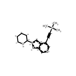 C[Si](C)(C)C#Cc1cncc2nn(C3CCCCO3)cc12